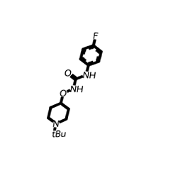 CC(C)(C)N1CCC(ONC(=O)Nc2ccc(F)cc2)CC1